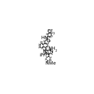 CNC1CC=C(c2cnc(N)c3c(-c4ccc(CC(=O)Nc5cccc(C(F)(F)F)c5)c5ccccc45)nc(C(C)C)n23)CC1